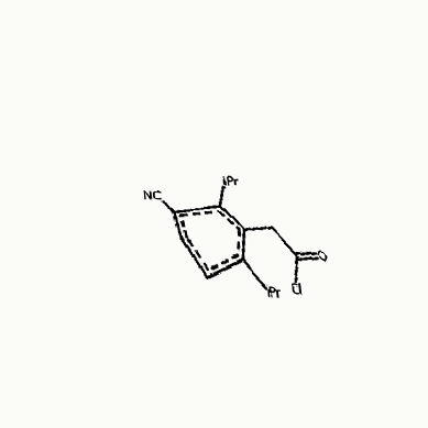 CC(C)c1ccc(C#N)c(C(C)C)c1CC(=O)Cl